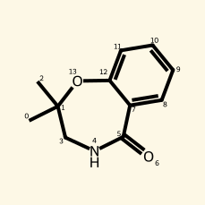 CC1(C)CNC(=O)c2ccccc2O1